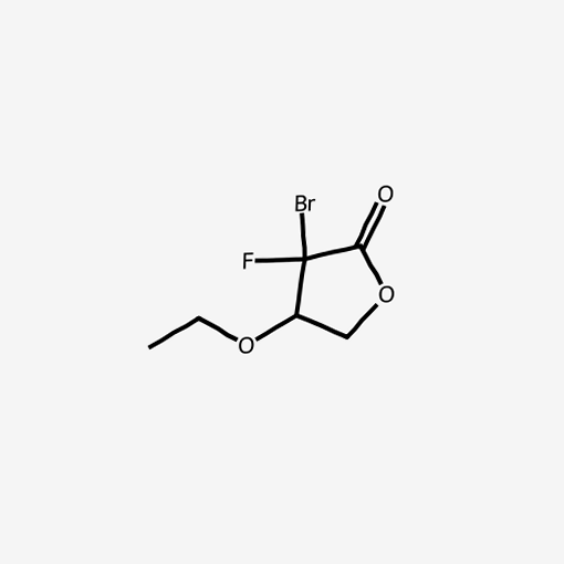 CCOC1COC(=O)C1(F)Br